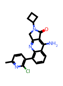 Cc1ccc(-c2cccc3c(N)c4c(nc23)CN(C2CCC2)C4=O)c(Cl)n1